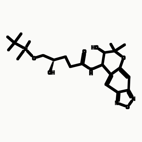 CC1(C)Oc2cc3nonc3cc2C(NC(=O)CC[C@H](O)CO[Si](C)(C)C(C)(C)C)C1O